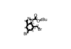 CC(C)(C)OC(=O)n1ncc2cc(Br)cc(CBr)c21